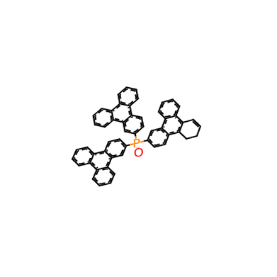 O=P(c1ccc2c3c(c4ccccc4c2c1)C=CCC3)(c1ccc2c3ccccc3c3ccccc3c2c1)c1ccc2c3ccccc3c3ccccc3c2c1